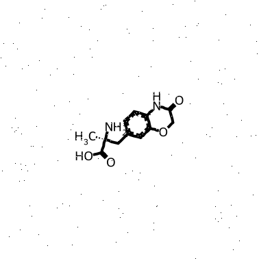 C[C@](N)(Cc1ccc2c(c1)OCC(=O)N2)C(=O)O